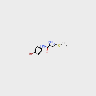 NC(CCSC(F)(F)F)C(=O)Nc1ccc(Br)cc1